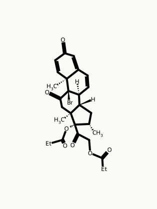 CCC(=O)OCC(=O)[C@]1(OC(=O)CC)[C@@H](C)C[C@H]2[C@@H]3C=CC4=CC(=O)C=C[C@]4(C)[C@@]3(Br)C(=O)C[C@@]21C